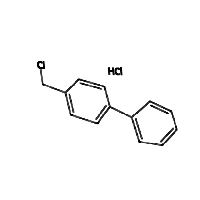 Cl.ClCc1ccc(-c2ccccc2)cc1